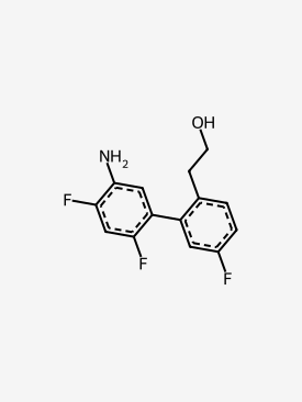 Nc1cc(-c2cc(F)ccc2CCO)c(F)cc1F